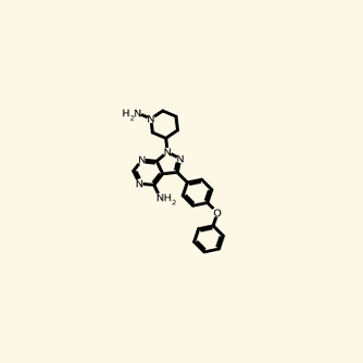 Nc1ncnc2c1c(-c1ccc(Oc3ccccc3)cc1)nn2C1CCCN(N)C1